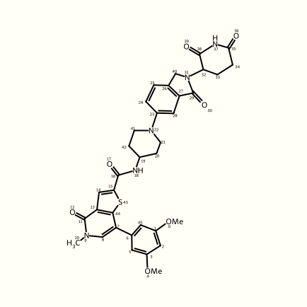 COc1cc(OC)cc(-c2cn(C)c(=O)c3cc(C(=O)NC4CCN(c5ccc6c(c5)C(=O)N(C5CCC(=O)NC5=O)C6)CC4)sc23)c1